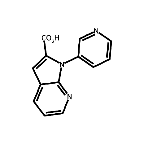 O=C(O)c1cc2cccnc2n1-c1cccnc1